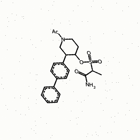 CC(=O)N1CCC(OS(=O)(=O)C(C)C(N)=O)C(c2ccc(-c3ccccc3)cc2)C1